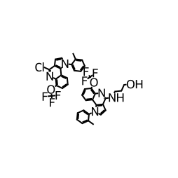 Cc1ccccc1-n1ccc2c(Cl)nc3c(OC(F)(F)F)cccc3c21.Cc1ccccc1-n1ccc2c(NCCCO)nc3c(OC(F)(F)F)cccc3c21